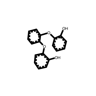 Oc1ccccc1Oc1[c]cccc1Oc1ccccc1O